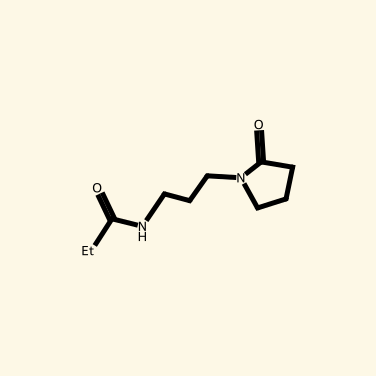 CCC(=O)NCCCN1CCCC1=O